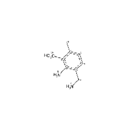 Cc1ccc(CN)c(N)c1C(=O)O